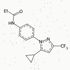 CCC(=O)Nc1ccc(-n2nc(C(F)(F)F)cc2C2CC2)cc1